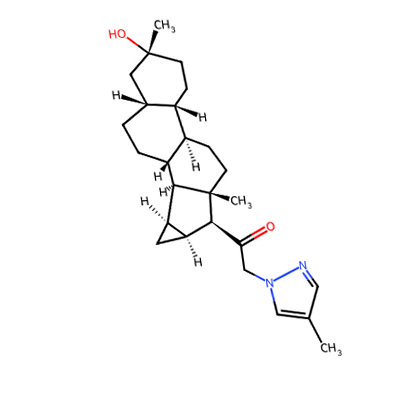 Cc1cnn(CC(=O)[C@H]2[C@H]3C[C@H]3[C@H]3[C@@H]4CC[C@@H]5C[C@](C)(O)CC[C@@H]5[C@H]4CC[C@@]32C)c1